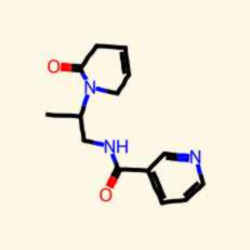 CC(CNC(=O)c1cccnc1)N1CC=CCC1=O